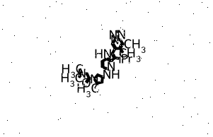 Cc1c(-c2[nH]c3ccc(N[C@H]4C[C@@H](C)N(C(=O)CN(C)C)C4)nc3c2C(C)C)cn2ncnc2c1C